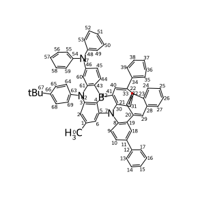 Cc1cc2c3c(c1)N(c1ccc(-c4ccccc4)cc1-c1ccc4ccccc4c1)c1ccc(-c4ccccc4)cc1B3c1ccc(N(c3ccccc3)c3ccccc3)cc1N2c1ccc(C(C)(C)C)cc1